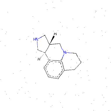 c1cc2c3c(c1)[C@H]1CNC[C@@H]1CN3CCC2